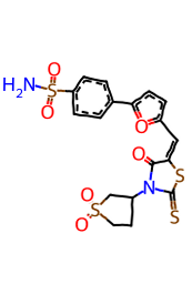 NS(=O)(=O)c1ccc(-c2ccc(C=C3SC(=S)N(C4CCS(=O)(=O)C4)C3=O)o2)cc1